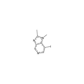 Cc1nc2cncc(I)c2n1C